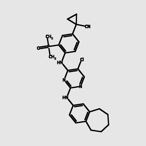 CP(C)(=O)c1cc(C2(C#N)CC2)ccc1Nc1nc(Nc2ccc3c(c2)CCCCC3)ncc1Cl